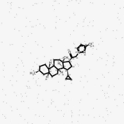 C[C@H]1CC[C@@H]2C3CC[C@@]4(C)[C@H]([C@@H]3CC[C@@H]2C1)[C@H](C1CC1)C[C@@H]4C(=O)Cn1ccc(C(F)(F)F)n1